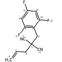 C=CCC(C#N)(C#N)Cc1c(F)cc(F)cc1F